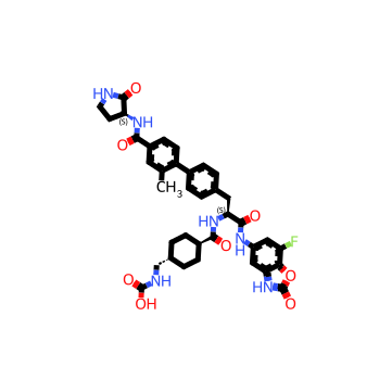 Cc1cc(C(=O)N[C@H]2CCNC2=O)ccc1-c1ccc(C[C@H](NC(=O)[C@H]2CC[C@H](CNC(=O)O)CC2)C(=O)Nc2cc(F)c3oc(=O)[nH]c3c2)cc1